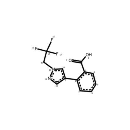 O=C(O)c1ccccc1-c1cnn(CC(F)(F)F)c1